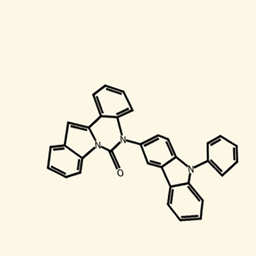 O=c1n(-c2ccc3c(c2)c2ccccc2n3-c2ccccc2)c2ccccc2c2cc3ccccc3n12